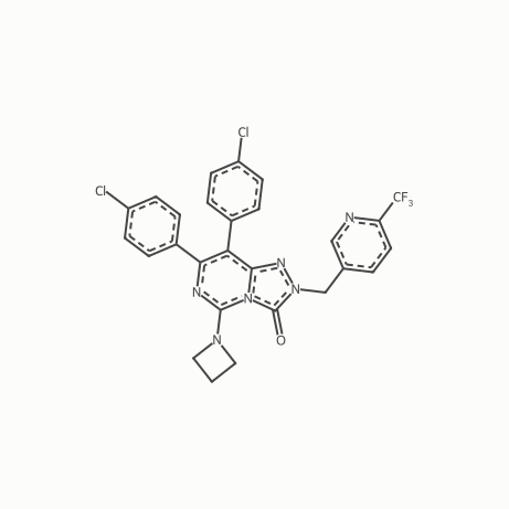 O=c1n(Cc2ccc(C(F)(F)F)nc2)nc2c(-c3ccc(Cl)cc3)c(-c3ccc(Cl)cc3)nc(N3CCC3)n12